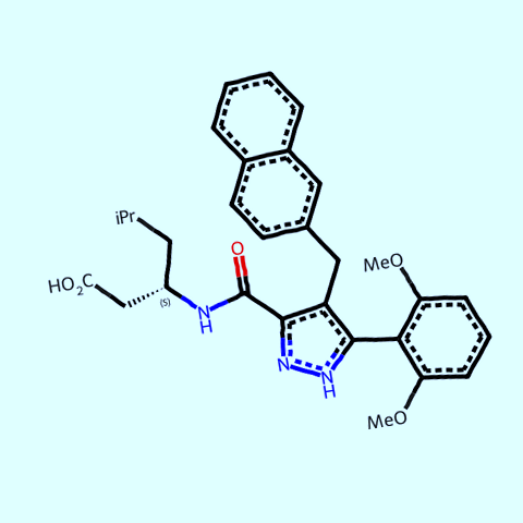 COc1cccc(OC)c1-c1[nH]nc(C(=O)N[C@H](CC(=O)O)CC(C)C)c1Cc1ccc2ccccc2c1